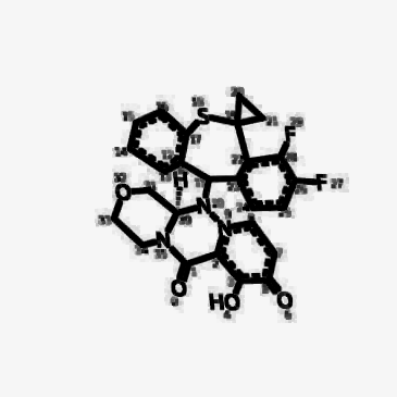 O=C1c2c(O)c(=O)ccn2N(C2c3ccccc3SC3(CC3)c3c2ccc(F)c3F)[C@@H]2COCCN12